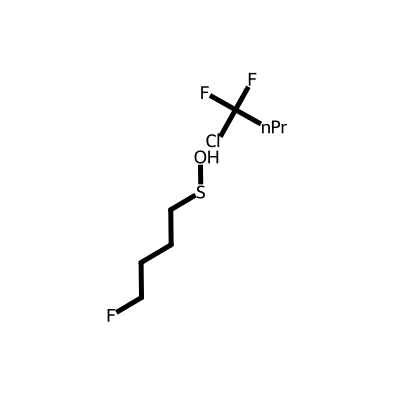 CCCC(F)(F)Cl.OSCCCCF